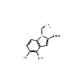 N#Cc1ccc2c(cc(C=O)n2CC(F)(F)F)c1C#N